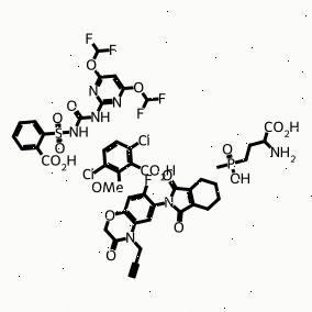 C#CCN1C(=O)COc2cc(F)c(N3C(=O)C4=C(CCCC4)C3=O)cc21.COc1c(Cl)ccc(Cl)c1C(=O)O.CP(=O)(O)CCC(N)C(=O)O.O=C(Nc1nc(OC(F)F)cc(OC(F)F)n1)NS(=O)(=O)c1ccccc1C(=O)O